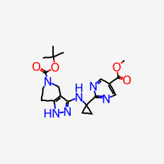 COC(=O)c1cnc(C2(Nc3n[nH]c4c3CN(C(=O)OC(C)(C)C)CC4)CC2)nc1